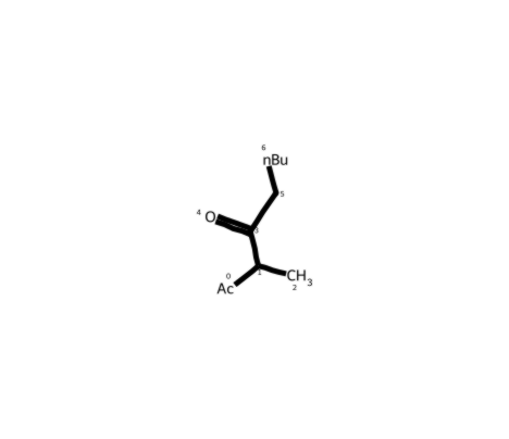 [CH2]C(=O)C(C)C(=O)CCCCC